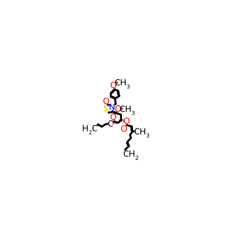 C=CC=CCCC(C)=CC(=O)O[C@@H]1C[C@@H](CCCC=C)O[C@@](OC)(C2CSC(=O)N2Cc2ccc(OC)cc2)C1